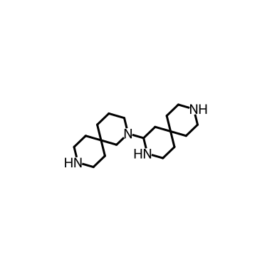 C1CN(C2CC3(CCNCC3)CCN2)CC2(C1)CCNCC2